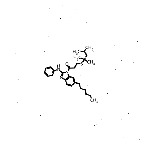 CCCCCCc1ccc2nc(Nc3ccccc3)n(C(=O)CCSC(C)(C)CC(C)C)c2c1